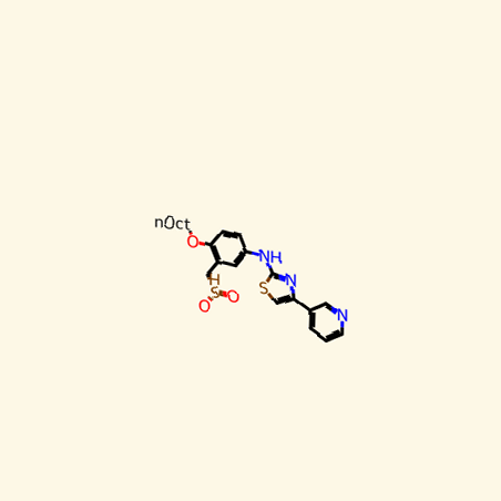 CCCCCCCCOc1ccc(Nc2nc(-c3cccnc3)cs2)cc1C[SH](=O)=O